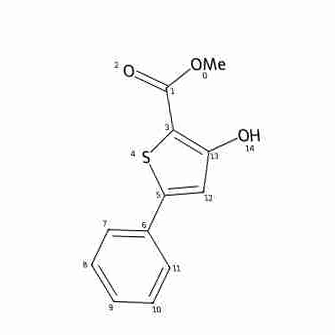 COC(=O)c1sc(-c2ccccc2)cc1O